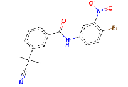 CC(C)(C#N)c1cccc(C(=O)Nc2ccc(Br)c([N+](=O)[O-])c2)c1